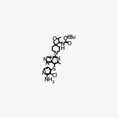 Cc1nc(N2CCC3(CC2)COC(C)C3NC(=O)OC(C)(C)C)n2cnnc2c1Sc1ccnc(N)c1Cl